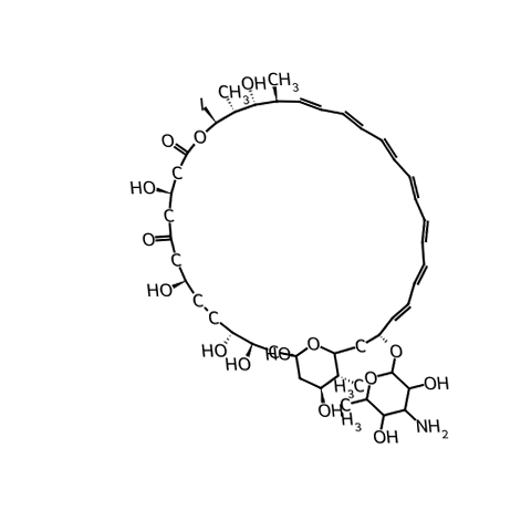 CC1OC(O[C@H]2/C=C/C=C/C=C/C=C/C=C/C=C/C=C/[C@H](C)[C@@H](O)[C@@H](C)[C@H](I)OC(=O)C[C@H](O)CC(=O)C[C@H](O)CC[C@@H](O)[C@H](O)C[C@]3(O)C[C@H](O)[C@@H](C)C(C2)O3)C(O)C(N)C1O